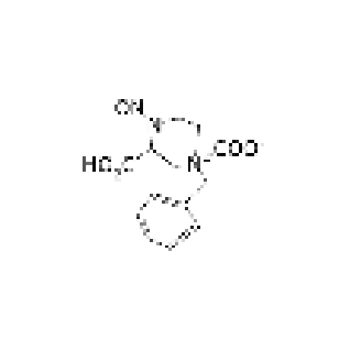 O=NN1CC[N+](Cc2ccccc2)(C(=O)[O-])CC1C(=O)O